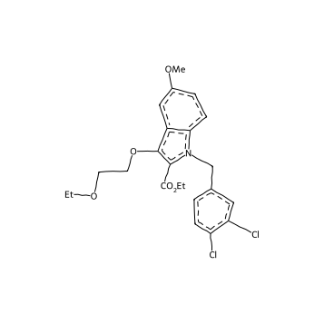 CCOCCOc1c(C(=O)OCC)n(Cc2ccc(Cl)c(Cl)c2)c2ccc(OC)cc12